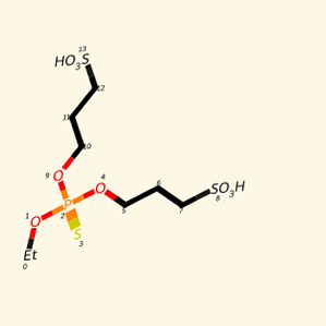 CCOP(=S)(OCCCS(=O)(=O)O)OCCCS(=O)(=O)O